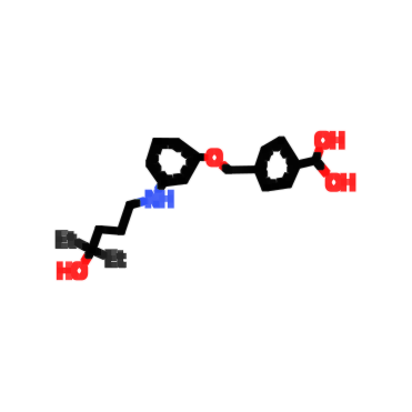 CCC(O)(CC)CCCNc1cccc(OCc2ccc(C(O)O)cc2)c1